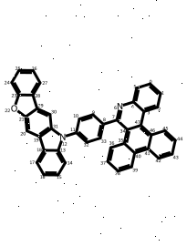 c1ccc2c(c1)nc(-c1ccc(-n3c4ccccc4c4cc5oc6ccccc6c5cc43)cc1)c1c3ccccc3c3ccccc3c21